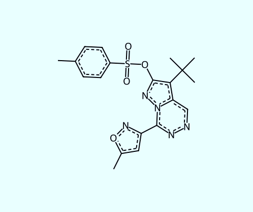 Cc1ccc(S(=O)(=O)Oc2nn3c(-c4cc(C)on4)nncc3c2C(C)(C)C)cc1